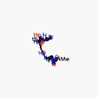 CNC(=O)N1CCc2c(c(N3CCCc4cc(-c5cnn(CCNC(=O)CCCCCCCC(=O)N[C@H](C(=O)N6C[C@H](O)C[C@H]6C(=O)NCc6ccc(-c7scnc7C)cc6)C(C)(C)C)c5)c(C(F)F)cc43)nn2C2CCOCC2)C1